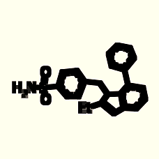 CCC1=Cc2cccc(-c3ccccc3)c2C1Cc1ccc(S(N)(=O)=O)cc1